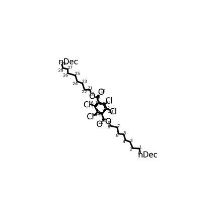 CCCCCCCCCCCCCCCCCCOC(=O)c1c(Cl)c(Cl)c(C(=O)OCCCCCCCCCCCCCCCCCC)c(Cl)c1Cl